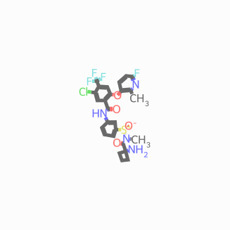 Cc1nc(F)ccc1Oc1cc(C(F)(F)F)c(Cl)cc1C(=O)Nc1cccc([S@@+]([O-])N(C)C(=O)C2(N)CCC2)c1